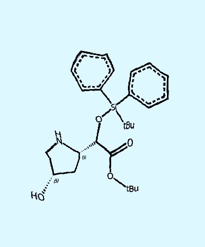 CC(C)(C)OC(=O)C(O[Si](c1ccccc1)(c1ccccc1)C(C)(C)C)[C@@H]1C[C@H](O)CN1